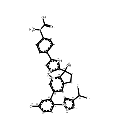 CN(C(=O)O)c1ccc(-c2cnc(C3(O)CCc4cc(-c5cc(Cl)ccc5-n5cc(C(F)F)nn5)c[n+]([O-])c43)[nH]2)cc1